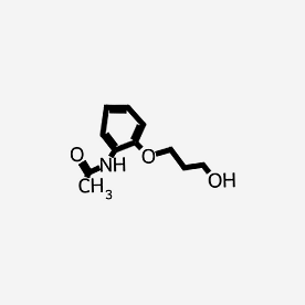 CC(=O)Nc1ccccc1OCCCO